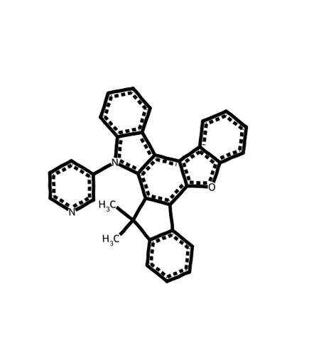 CC1(C)c2ccccc2-c2c1c1c(c3ccccc3n1-c1cccnc1)c1c2oc2ccccc21